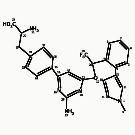 Cn1cc(-c2ccccc2C(Oc2cc(-c3ccc(CC(N)C(=O)O)cc3)nc(N)n2)C(F)(F)F)cn1